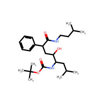 CC(C)CCNC(=O)C(CC(O)C(CC(C)C)NC(=O)OC(C)(C)C)c1ccccc1